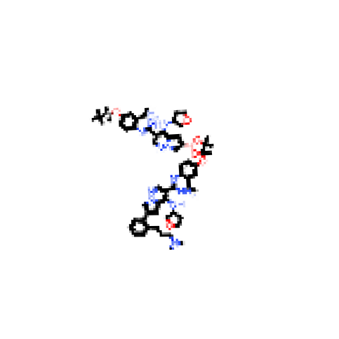 CCc1cc(O[Si](C)(C)C(C)(C)C)ccc1/N=C(\N)c1cnn2cc(B3OC(C)(C)C(C)(Oc4ccc(/N=C(\N)c5cnn6cc(-c7ccccc7CCCN(C)C)cc6c5N[C@H]5CCOC5)c(CC)c4)O3)cc2c1N[C@H]1CCOC1